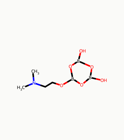 CN(C)CCOB1OB(O)OB(O)O1